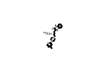 Cc1ccnc(N2CCN(CCCCC3Sc4ccccc4N(C)C3=O)CC2)c1.Cl.Cl